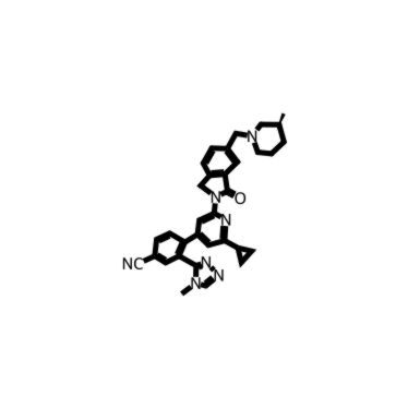 C[C@H]1CCCN(Cc2ccc3c(c2)C(=O)N(c2cc(-c4ccc(C#N)cc4-c4nncn4C)cc(C4CC4)n2)C3)C1